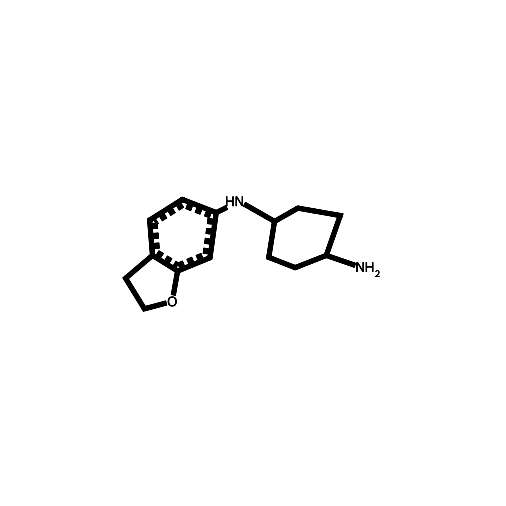 NC1CCC(Nc2ccc3c(c2)OCC3)CC1